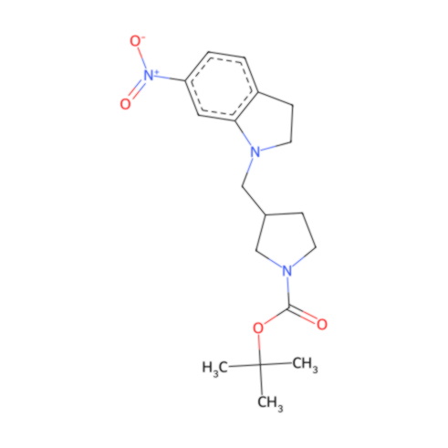 CC(C)(C)OC(=O)N1CCC(CN2CCc3ccc([N+](=O)[O-])cc32)C1